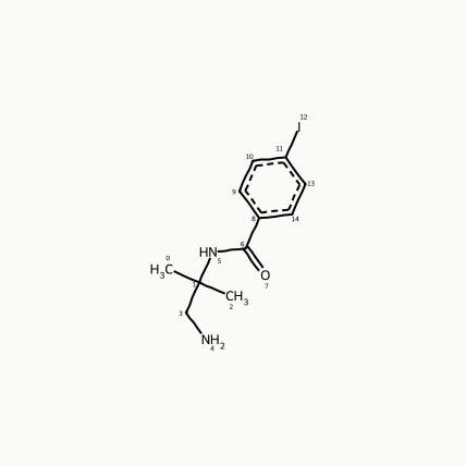 CC(C)(CN)NC(=O)c1ccc(I)cc1